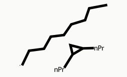 [CH2]CCC1CC1CCC.[CH2]CCCCCCCC